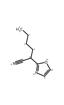 CCCCC(C#N)c1ncco1